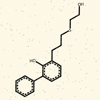 OCCSCCCc1cccc(-c2ccccc2)c1O